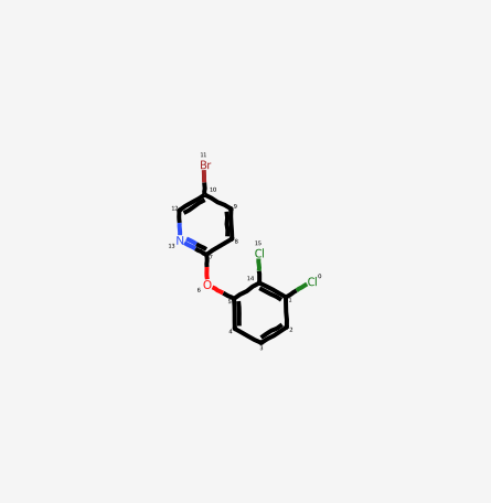 Clc1cccc(Oc2ccc(Br)cn2)c1Cl